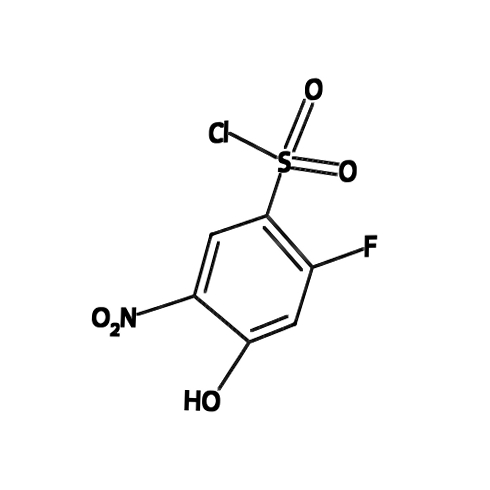 O=[N+]([O-])c1cc(S(=O)(=O)Cl)c(F)cc1O